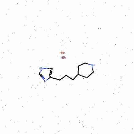 Br.Br.c1nc(CCCC2CCNCC2)c[nH]1